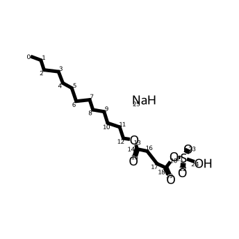 CCCCCCCCCCCCCOC(=O)CCC(=O)OS(=O)(=O)O.[NaH]